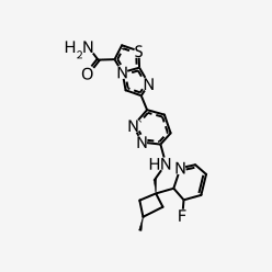 C[C@H]1C[C@](CNc2ccc(-c3cn4c(C(N)=O)csc4n3)nn2)(C2N=CC=CC2F)C1